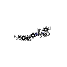 CC(C)c1ccc(Cl)cc1N1C(=O)CS/C1=N\C(=S)N/N=C/c1ccc(-c2ncn(-c3ccc(OC(F)(F)F)cc3)n2)cc1